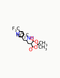 CC1(C)OC(=O)C(CC(Cc2ccc(C(F)(F)F)nc2)NC(=O)O)C(=O)O1